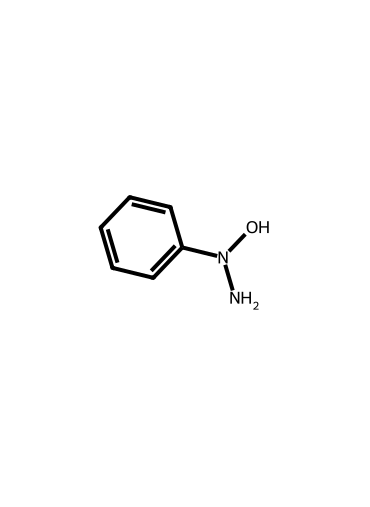 NN(O)c1ccccc1